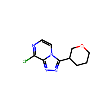 Clc1nccn2c(C3CCCOC3)nnc12